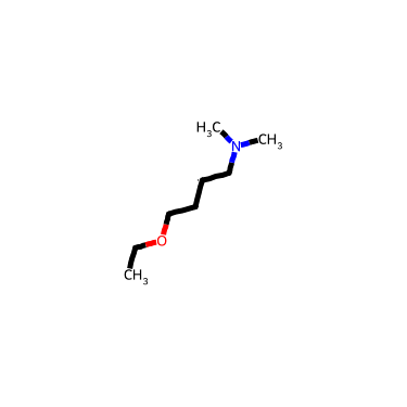 CCOCC[CH]CN(C)C